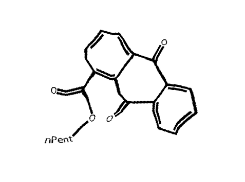 CCCCCOC(=O)c1cccc2c1C(=O)c1ccccc1C2=O